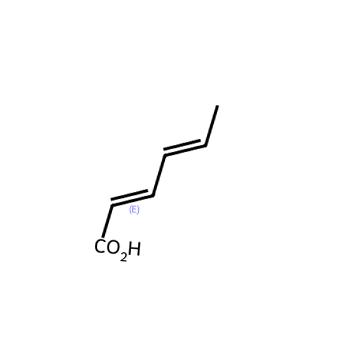 CC=C/C=C/C(=O)O